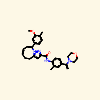 C=C(c1ccc(NC(=O)c2cc3n(n2)/C(c2ccc(C)c(OC)c2)=C\C=C/CC3)c(C)c1)N1CCOCC1